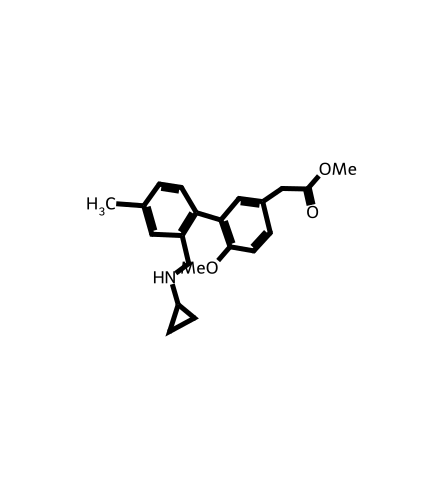 COC(=O)Cc1ccc(OC)c(-c2ccc(C)cc2CNC2CC2)c1